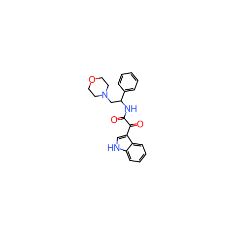 O=C(NC(CN1CCOCC1)c1ccccc1)C(=O)c1c[nH]c2ccccc12